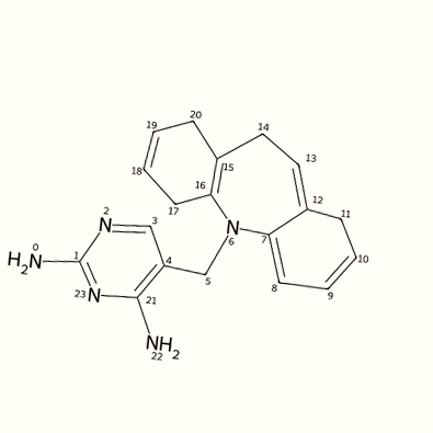 Nc1ncc(CN2C3=CC=CCC3=CCC3=C2CC=CC3)c(N)n1